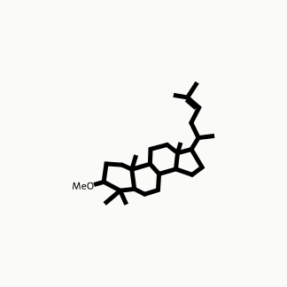 COC1CCC2(C)C3CCC4(C)C(C(C)CC=C(C)C)CCC4C3CCC2C1(C)C